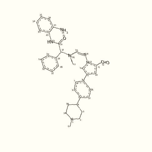 CN1CCC(c2ccc(-c3cc(C=O)n(/N=C\N(C)C(C(=O)Nc4ccccc4N)c4ccccc4)c3)cc2)CC1